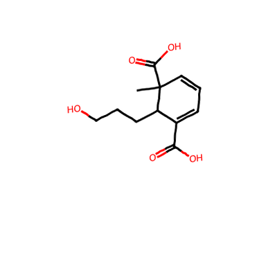 CC1(C(=O)O)C=CC=C(C(=O)O)C1CCCO